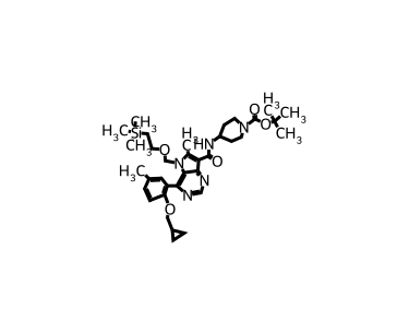 Cc1ccc(OCC2CC2)c(-c2ncnc3c(C(=O)NC4CCN(C(=O)OC(C)(C)C)CC4)c(C)n(COCC[Si](C)(C)C)c23)c1